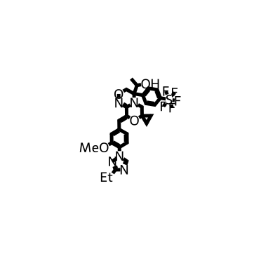 CCc1ncn(-c2ccc(/C=C3\OC4(CC4)CN4C3=NOCC4(c3ccc(S(F)(F)(F)(F)F)cc3)C(C)O)cc2OC)n1